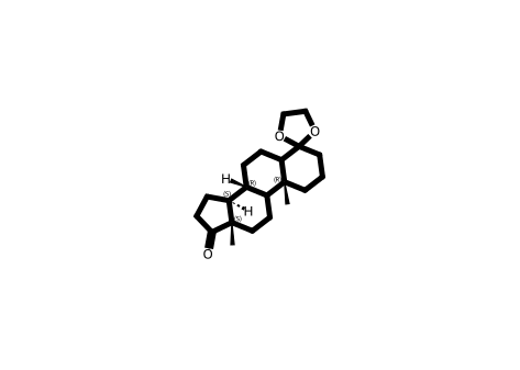 C[C@]12CCCC3(OCCO3)C1CC[C@@H]1C2CC[C@]2(C)C(=O)CC[C@@H]12